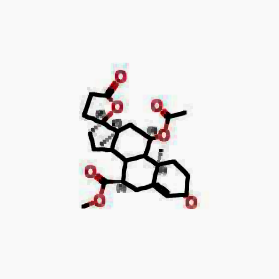 COC(=O)[C@@H]1CC2=CC(=O)CC[C@]2(C)C2C1C1CC[C@@]3(CCC(=O)O3)[C@@]1(C)C[C@H]2OC(C)=O